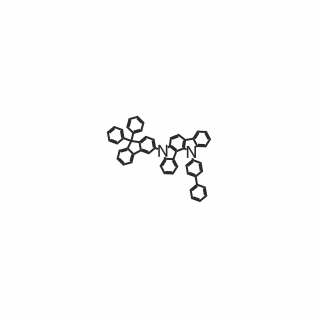 c1ccc(-c2ccc(-n3c4ccccc4c4ccc5c(c6ccccc6n5-c5ccc6c(c5)-c5ccccc5C6(c5ccccc5)c5ccccc5)c43)cc2)cc1